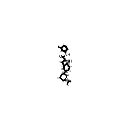 Cc1cccc(NC(=O)c2cc3cc(C4CCCN(C(C)C)C4)ccc3[nH]2)c1